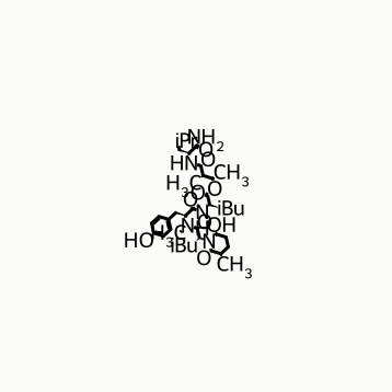 CC[C@H](C)[C@H](NC(=O)[C@H](Cc1ccc(O)cc1)N(C)C(=O)[C@H]([C@@H](C)CC)N1C(=O)[C@@H](C)CC[C@H]1O)C(=O)O[C@H](C)[C@H](C)C(=O)N[C@@H](CC(C)C)C(N)=O